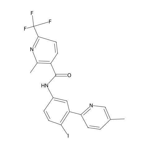 Cc1ccc(-c2cc(NC(=O)c3ccc(C(F)(F)F)nc3C)ccc2I)nc1